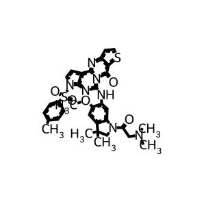 COc1cc2c(cc1Nc1nc3c(ccn3S(=O)(=O)c3ccc(C)cc3)c3nc4ccsc4c(=O)n13)N(C(=O)CN(C)C)CC2(C)C